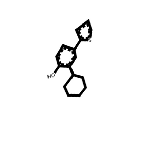 Oc1ccc(-c2cccs2)cc1C1CCCCC1